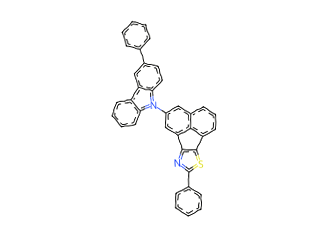 c1ccc(-c2ccc3c(c2)c2ccccc2n3-c2cc3c4c(cccc4c2)-c2sc(-c4ccccc4)nc2-3)cc1